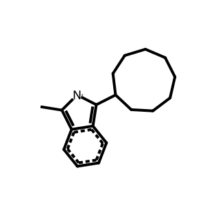 CC1=c2ccccc2=C(C2CCCCCCCC2)[N]1